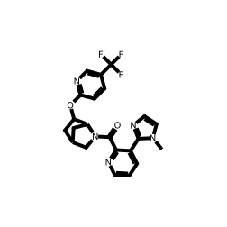 Cn1ccnc1-c1cccnc1C(=O)N1CC2CC(Oc3ccc(C(F)(F)F)cn3)C1C2